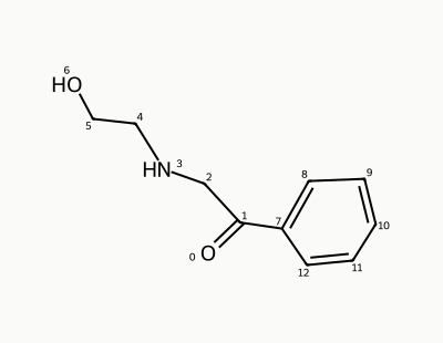 O=C(CNCCO)c1ccccc1